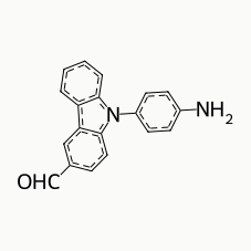 Nc1ccc(-n2c3ccccc3c3cc(C=O)ccc32)cc1